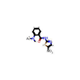 CC(=O)N(C)c1ccccc1C(=O)Nc1ncc([N+](=O)[O-])s1